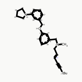 CN(C/C=C/C#CC(C)(C)C)Cc1cccc(OCc2cccc(N3CCCC3)c2)c1